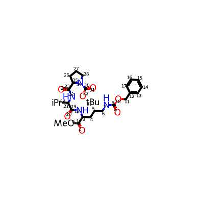 COC(=O)C(CCCNC(=O)OCc1ccccc1)NC(=O)C(NC(=O)C1CCCN1C(=O)OC(C)(C)C)C(C)C